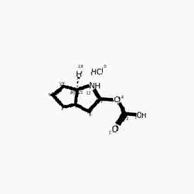 Cl.O=C(O)OC1CC2CCC[C@H]2N1